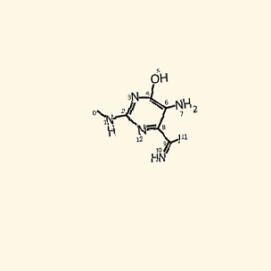 CNc1nc(O)c(N)c(C(=N)I)n1